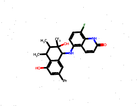 CC(C)c1cc(O)c2c(c1)C(Nc1ccc(F)c3[nH]c(=O)ccc13)C(O)(C(F)(F)F)C(C)C2C